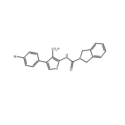 O=C(O)c1c(-c2ccc(Br)cc2)csc1NC(=O)N1Cc2ccccc2C1